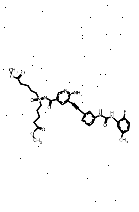 COC(=O)CCCCS(=O)(CCCCC(=O)OC)=NC(=O)c1cnc(N)c(C#Cc2cccc(NC(=O)Nc3cc(C)ccc3F)c2)c1